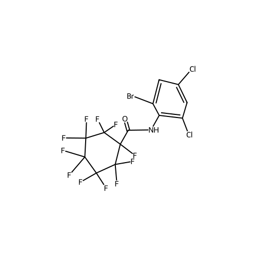 O=C(Nc1c(Cl)cc(Cl)cc1Br)C1(F)C(F)(F)C(F)(F)C(F)(F)C(F)(F)C1(F)F